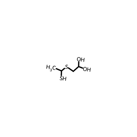 CC(S)SCC(O)O